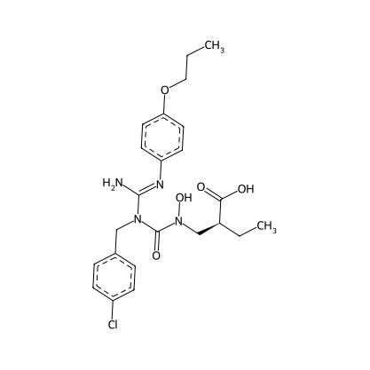 CCCOc1ccc(/N=C(\N)N(Cc2ccc(Cl)cc2)C(=O)N(O)C[C@H](CC)C(=O)O)cc1